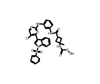 CC1(NC(=O)OC(C)(C)C)CC(C(=O)Nc2cccc(Nc3ncc(Cl)c(-c4cn(S(=O)(=O)c5ccccc5)c5ccccc45)n3)c2)C1